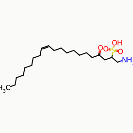 CCCCCCCC/C=C\CCCCCCCC(=O)CC(CN)S(=O)(=O)O